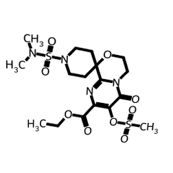 CCOC(=O)c1nc2n(c(=O)c1OS(C)(=O)=O)CCOC21CCN(S(=O)(=O)N(C)C)CC1